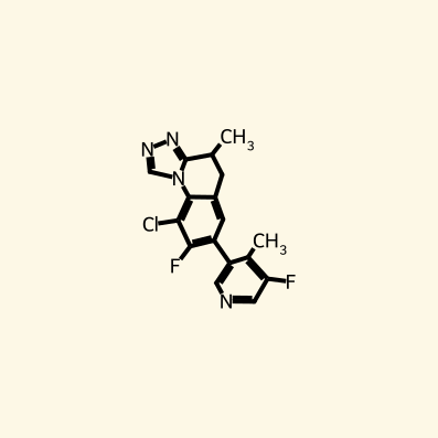 Cc1c(F)cncc1-c1cc2c(c(Cl)c1F)-n1cnnc1C(C)C2